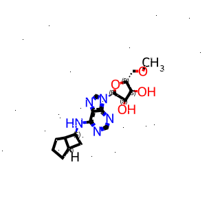 COC[C@H]1O[C@@H](n2cnc3c(N[C@H]4C[C@H]5CCCC54)ncnc32)[C@H](O)[C@@H]1O